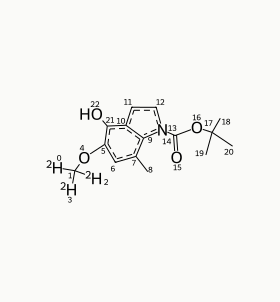 [2H]C([2H])([2H])Oc1cc(C)c2c(ccn2C(=O)OC(C)(C)C)c1O